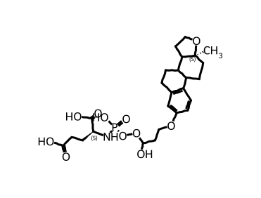 C[C@]12CCC3c4ccc(OCCC(O)OOP(=O)(O)N[C@@H](CCC(=O)O)C(=O)O)cc4CCC3C1CCO2